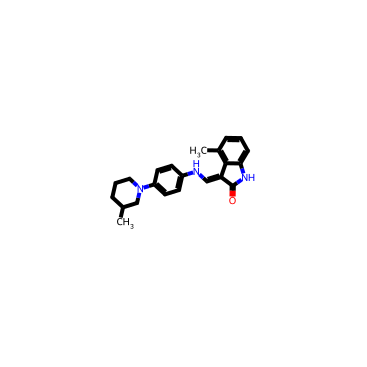 Cc1cccc2c1/C(=C\Nc1ccc(N3CCCC(C)C3)cc1)C(=O)N2